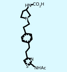 CC(=O)Nc1nc(CCc2ccc(CCN3CCC(NC(=O)O)C3)cc2)cs1